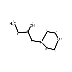 CCC(O)CN1CCOCC1